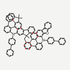 CC1(C)c2ccccc2-c2c(-c3c(-c4ccccc4)cccc3N(c3ccc(-c4ccccc4)cc3)c3ccc4c(c3)C(C)(Cc3cccc(-c5cccc(N(c6ccc(-c7ccccc7)cc6)c6cccc7c6oc6ccccc67)c5-c5ccccc5-c5ccccc5)c3)c3ccccc3-4)cccc21